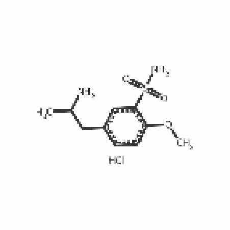 COc1ccc(CC(C)N)cc1S(N)(=O)=O.Cl